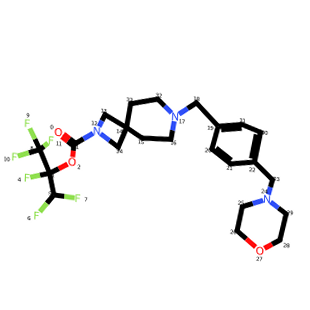 O=C(OC(F)(C(F)F)C(F)(F)F)N1CC2(CCN(Cc3ccc(CN4CCOCC4)cc3)CC2)C1